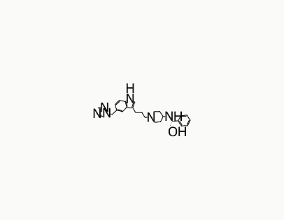 OC[C@H](NC1CCN(CCCc2c[nH]c3ccc(Cn4cncn4)cc23)CC1)c1ccccc1